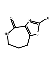 O=C1NCCCc2sc(Br)nc21